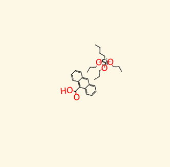 CCCC[Si](OCCC)(OCCC)OCCC.O=C(O)c1c2ccccc2cc2ccccc12